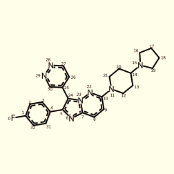 Fc1ccc(-c2nc3ccc(N4CCC(N5CCCC5)CC4)nn3c2-c2ccnnc2)cc1